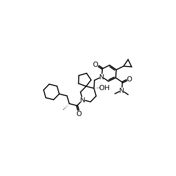 C[C@H](CC1CCCCC1)C(=O)N1CC[C@](O)(Cn2cc(C(=O)N(C)C)c(C3CC3)cc2=O)C2(CCCC2)C1